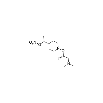 CC(O[N+](=O)[O-])C1CCN(OC(=O)CN(C)C)CC1